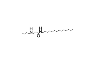 CCCCCCCCCCCCCCNC(=O)CCNCCCC